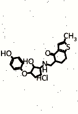 Cc1cc2c(s1)CCC(CNC1CCC(Oc3ccc(O)cc3)C1O)C2=O.Cl